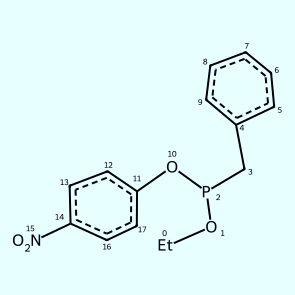 CCOP(Cc1ccccc1)Oc1ccc([N+](=O)[O-])cc1